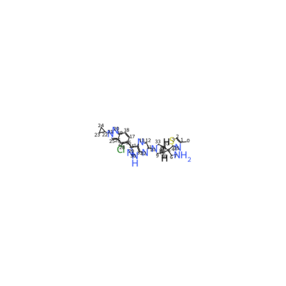 Cc1csc(C2(CN)[C@@H]3CN(c4cnc5c(-c6ccc7nn(C8CC8)cc7c6Cl)n[nH]c5n4)C[C@@H]32)n1